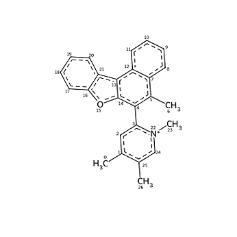 Cc1cc(-c2c(C)c3ccccc3c3c2oc2ccccc23)[n+](C)cc1C